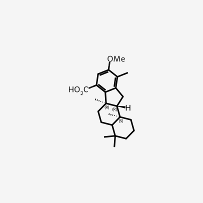 COc1cc(C(=O)O)c2c(c1C)C[C@H]1[C@@]2(C)CCC2C(C)(C)CCC[C@@]21C